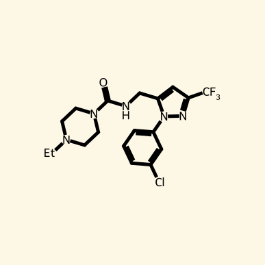 CCN1CCN(C(=O)NCc2cc(C(F)(F)F)nn2-c2cccc(Cl)c2)CC1